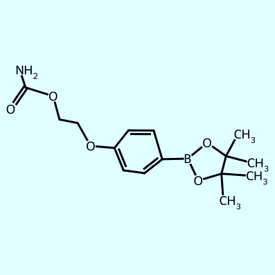 CC1(C)OB(c2ccc(OCCOC(N)=O)cc2)OC1(C)C